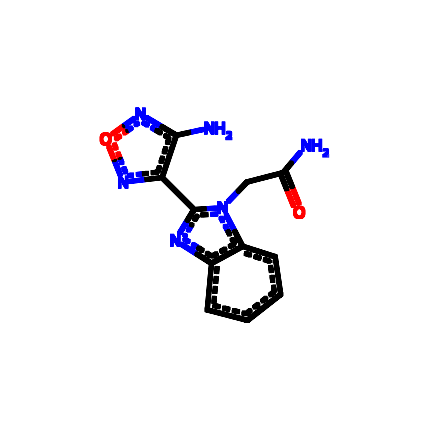 NC(=O)Cn1c(-c2nonc2N)nc2ccccc21